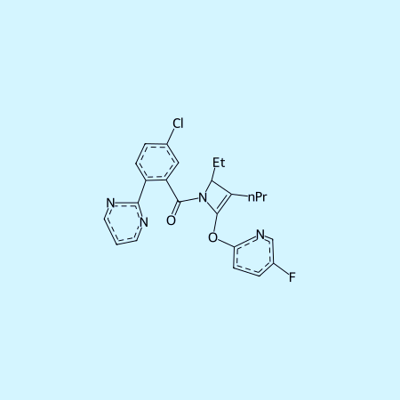 CCCC1=C(Oc2ccc(F)cn2)N(C(=O)c2cc(Cl)ccc2-c2ncccn2)C1CC